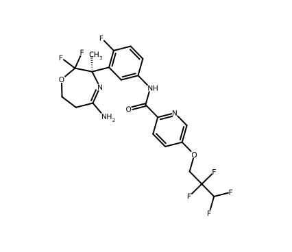 C[C@]1(c2cc(NC(=O)c3ccc(OCC(F)(F)C(F)F)cn3)ccc2F)N=C(N)CCOC1(F)F